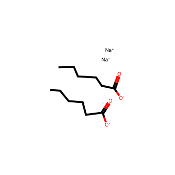 CCCCCC(=O)[O-].CCCCCC(=O)[O-].[Na+].[Na+]